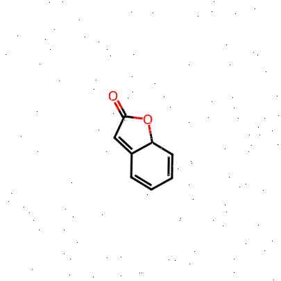 O=C1C=C2C=CC=CC2O1